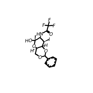 C[C@]1(O)O[C@@H]2COC(c3ccccc3)O[C@H]2[C@H](I)[C@@H]1NC(=O)C(F)(F)F